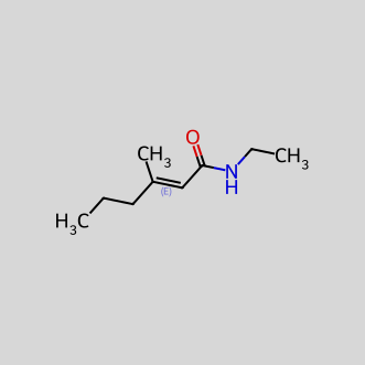 CCC/C(C)=C/C(=O)NCC